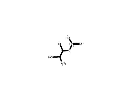 CC(O)C(O)O[PH](=O)O